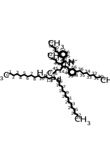 CCCCCCCCCCCCC[CH2][Pd][CH2]CCCCCCCCCCCCC.CCCCCCCCc1cccc(C2=C(CCCC)C(CCCC)=C(c3cccc(CCCC)c3)[N+]2=[N-])c1